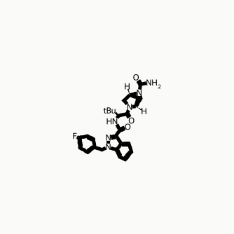 CC(C)(C)[C@H](NC(=O)c1nn(Cc2ccc(F)cc2)c2ccccc12)C(=O)N1C[C@@H]2C[C@H]1CN2C(N)=O